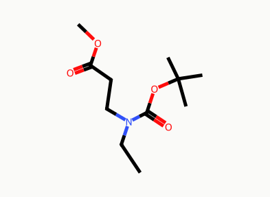 CCN(CCC(=O)OC)C(=O)OC(C)(C)C